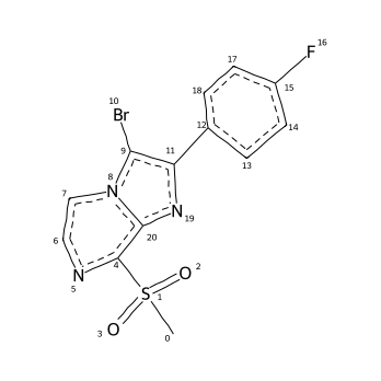 CS(=O)(=O)c1nccn2c(Br)c(-c3ccc(F)cc3)nc12